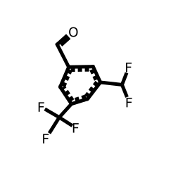 O=Cc1cc(C(F)F)cc(C(F)(F)F)c1